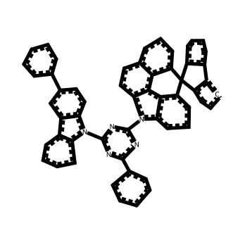 c1ccc(-c2ccc3c(c2)c2ccccc2n3-c2nc(-c3ccccc3)nc(-n3c4cccc5c4c4c6c(cccc6ccc43)C53c4ccccc4-c4ccccc43)n2)cc1